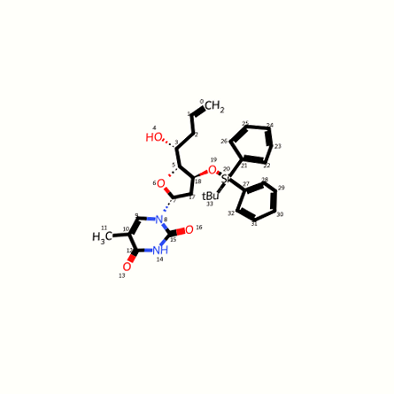 C=CC[C@@H](O)[C@H]1O[C@@H](n2cc(C)c(=O)[nH]c2=O)C[C@@H]1O[Si](c1ccccc1)(c1ccccc1)C(C)(C)C